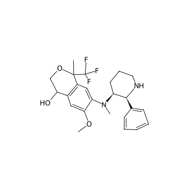 COc1cc2c(cc1N(C)[C@H]1CCCN[C@H]1c1ccccc1)C(C)(C(F)(F)F)OCC2O